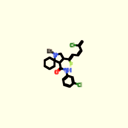 C=C(Cl)/C=C\C=C(/F)C1CN(CC)C2(CCCCC2)C1C(=O)Nc1cccc(Cl)c1